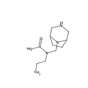 CCCN(CN1C2CCC1CNC2)C(=O)O